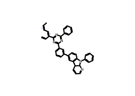 C=C/C(=C\C=C/C)c1nc(-c2ccccc2)nc(-c2cccc(-c3ccc4c(c3)C3C=CC=NC3N4c3ccccc3)c2)n1